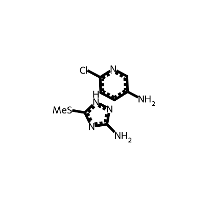 CSc1nc(N)n[nH]1.Nc1ccc(Cl)nc1